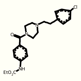 CCOC(=O)Nc1ccc(C(=O)N2CCN(CCc3ccc(Cl)cc3)CC2)cc1